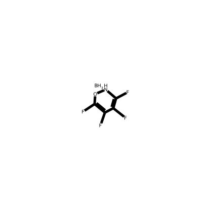 B.FC1=C(F)C(F)=C(F)ON1